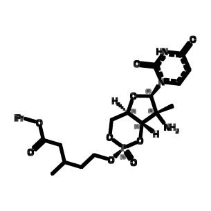 CC(CCO[P@@]1(=O)OC[C@H]2O[C@@H](n3ccc(=O)[nH]c3=O)[C@](C)(N)[C@@H]2O1)CC(=O)OC(C)C